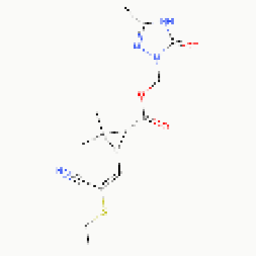 CCS/C(C#N)=C/[C@@H]1[C@@H](C(=O)OCn2nc(C)[nH]c2=O)C1(C)C